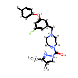 Cc1ccc(Oc2cc(F)cc(CN3CCN(C(=O)n4cc(C(F)(F)F)c(C(=O)O)n4)CC3)c2)cc1